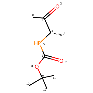 CC(=O)[C@H](C)PC(=O)OC(C)(C)C